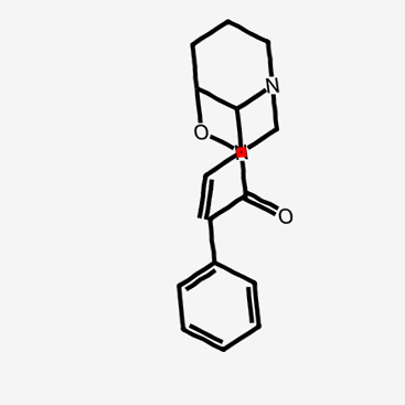 C=CCC1C2CCCN1CN(C(=O)Cc1ccccc1)O2